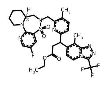 CCOC(=O)CC(c1ccc(C)c(CN2C[C@@H]3CCCCN3c3ncc(F)cc3S2(=O)=O)n1)c1ccn2c(C(F)(F)F)nnc2c1C